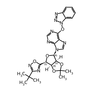 CC1(C)O[C@@H]2[C@H](O1)[C@H](n1cnc3c(On4nnc5ccccc54)ncnc31)O[C@@H]2c1nc(C(C)(C)C)no1